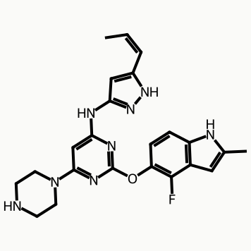 C/C=C\c1cc(Nc2cc(N3CCNCC3)nc(Oc3ccc4[nH]c(C)cc4c3F)n2)n[nH]1